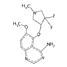 COc1ccc2ncnc(N)c2c1OC1CN(C)CC1(F)F